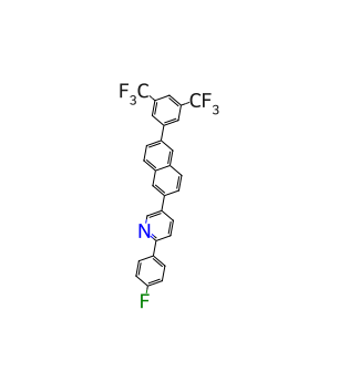 Fc1ccc(-c2ccc(-c3ccc4cc(-c5cc(C(F)(F)F)cc(C(F)(F)F)c5)ccc4c3)cn2)cc1